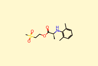 Cc1cccc(C)c1N[C@@H](C)C(=O)OCCS(C)(=O)=O